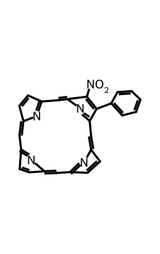 O=[N+]([O-])C1=C(c2ccccc2)C2=NC1=CC1=NC(=CC3=NC(=CC4=NC(=C2)C=C4)C=C3)C=C1